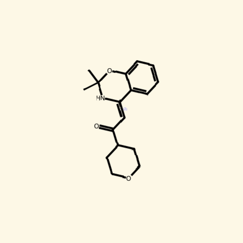 CC1(C)N/C(=C\C(=O)C2CCOCC2)c2ccccc2O1